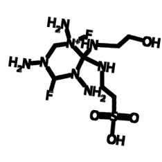 NN1C[N+](N)(F)C(NCCO)(NCCS(=O)(=O)O)N(N)C1F